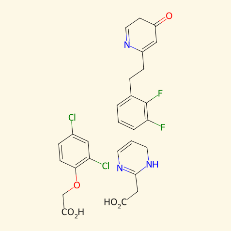 O=C(O)CC1=NC=CCN1.O=C(O)COc1ccc(Cl)cc1Cl.O=C1C=C(CCc2cccc(F)c2F)N=CC1